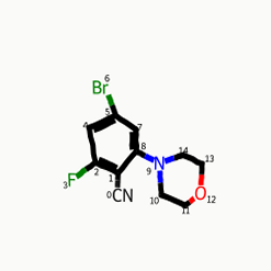 N#Cc1c(F)cc(Br)cc1N1CCOCC1